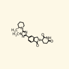 C[C@H]1CCCCN1c1nc(-c2ccc3c(c2)CN(C2CCC(=O)NC2=O)C3=O)nn1C